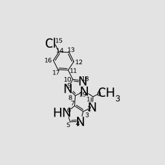 Cc1nc2nc[nH]c2c2nc(-c3ccc(Cl)cc3)nn12